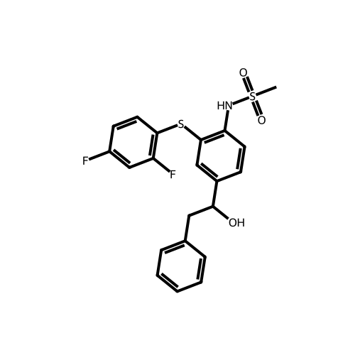 CS(=O)(=O)Nc1ccc(C(O)Cc2ccccc2)cc1Sc1ccc(F)cc1F